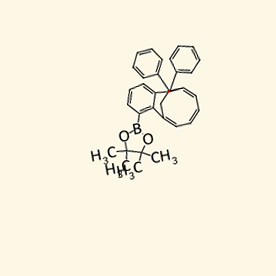 CC1(C)OB(c2cccc3c2/C2=C/C=C\C=C(/CC2)C3(c2ccccc2)c2ccccc2)OC1(C)C